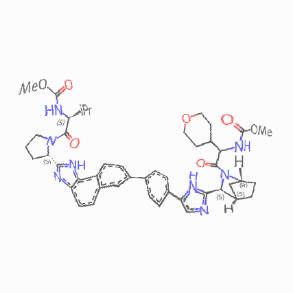 COC(=O)NC(C(=O)N1[C@@H]2CC[C@@H](C2)[C@H]1c1ncc(-c2ccc(-c3ccc4c(ccc5nc([C@@H]6CCCN6C(=O)[C@@H](NC(=O)OC)C(C)C)[nH]c54)c3)cc2)[nH]1)C1CCOCC1